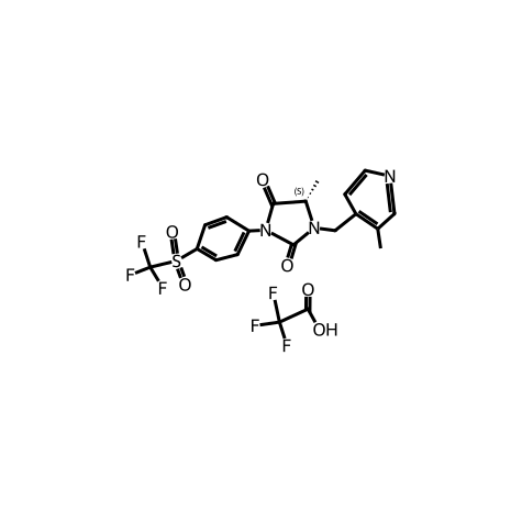 Cc1cnccc1CN1C(=O)N(c2ccc(S(=O)(=O)C(F)(F)F)cc2)C(=O)[C@@H]1C.O=C(O)C(F)(F)F